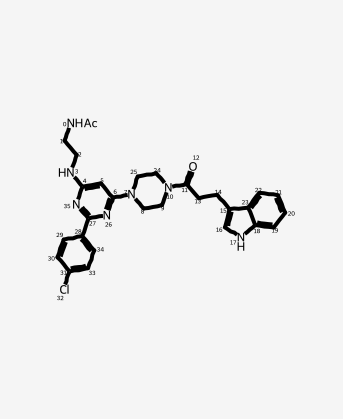 CC(=O)NCCNc1cc(N2CCN(C(=O)CCc3c[nH]c4ccccc34)CC2)nc(-c2ccc(Cl)cc2)n1